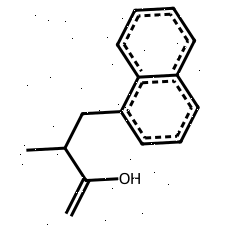 C=C(O)C(C)Cc1cccc2ccccc12